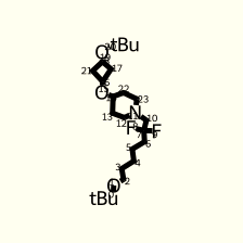 CC(C)(C)OCCCCCC(F)(F)CN1CCC(OC2CC(OC(C)(C)C)C2)CC1